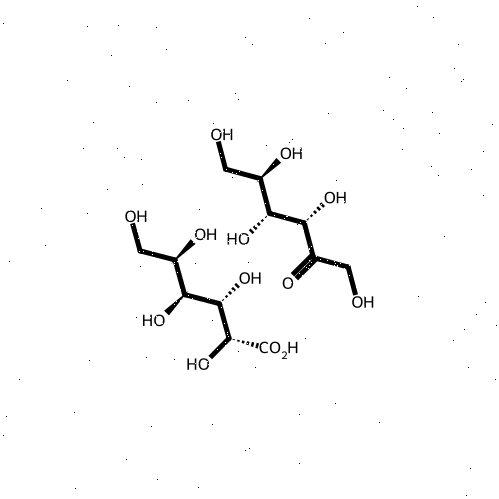 O=C(CO)[C@@H](O)[C@H](O)[C@H](O)CO.O=C(O)[C@H](O)[C@@H](O)[C@@H](O)[C@H](O)CO